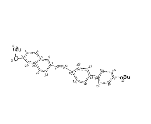 CCCCOc1ccc2cc(C#Cc3ccc(-c4ccc(CCCC)cc4)cc3)ccc2c1